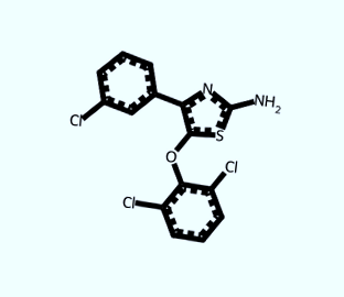 Nc1nc(-c2cccc(Cl)c2)c(Oc2c(Cl)cccc2Cl)s1